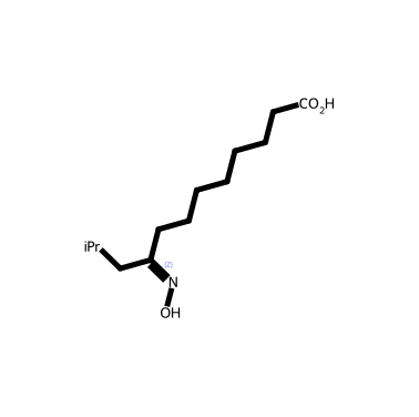 CC(C)C/C(CCCCCCCC(=O)O)=N\O